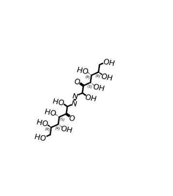 O=C(C(O)N=NC(O)C(=O)[C@@H](O)[C@H](O)[C@H](O)CO)[C@@H](O)[C@H](O)[C@H](O)CO